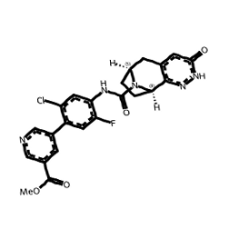 COC(=O)c1cncc(-c2cc(F)c(NC(=O)N3[C@H]4CC[C@@H]3c3n[nH]c(=O)cc3C4)cc2Cl)c1